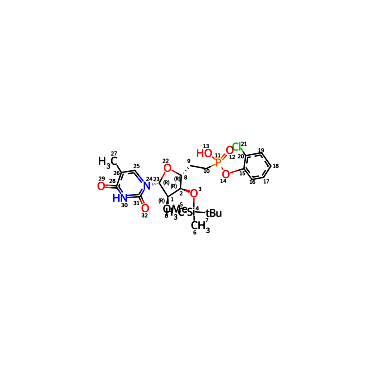 CO[C@@H]1[C@H](O[Si](C)(C)C(C)(C)C)[C@@H](CCP(=O)(O)Oc2ccccc2Cl)O[C@H]1n1cc(C)c(=O)[nH]c1=O